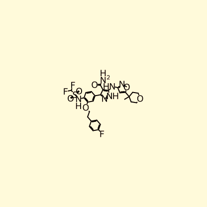 CC1(c2cc(Nc3[nH]nc(-c4ccc(NS(=O)(=O)C(F)F)c(OCCc5ccc(F)cc5)c4)c3C(N)=O)no2)CCOCC1